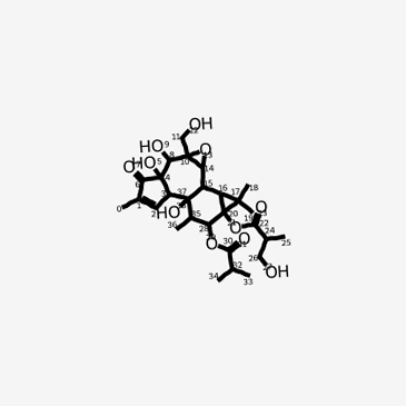 CC1=CC2C(O)(C1=O)C(O)C1(CO)OC1C1C3C(C)(C)C3(OC(=O)C(C)CO)C(OC(=O)C(C)C)C(C)C12O